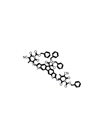 CC1=C(C#N)C(=O)N(C(=O)OCc2ccccc2)C(=O)/C1=N\c1cc2cc3c(cc2s1)-c1cc2sc(/N=C4/C(=O)N(C(=O)OCc5ccccc5)C(=O)C(C#N)=C4C)cc2cc1C3(C(=O)OCc1ccccc1)C(=O)OCc1ccccc1